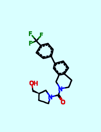 O=C(N1CCc2ccc(-c3ccc(C(F)(F)F)cc3)cc2C1)N1CC[C@@H](CO)C1